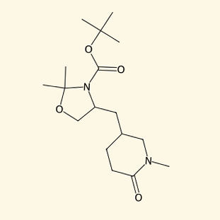 CN1CC(CC2COC(C)(C)N2C(=O)OC(C)(C)C)CCC1=O